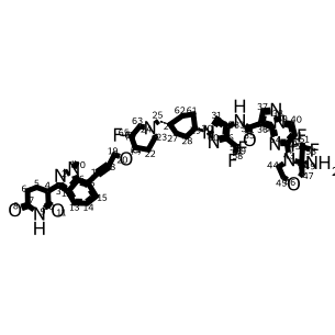 Cn1nc(C2CCC(=O)NC2=O)c2cccc(C#CCO[C@H]3CCN(C[C@H]4CC[C@H](n5cc(NC(=O)c6cnn7ccc(N8CCOC[C@@]8(N)C(F)(F)F)nc67)c(C(F)F)n5)CC4)C[C@H]3F)c21